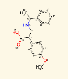 COc1ccc(C(CNC(C)c2ccccc2)C(=O)O)cc1